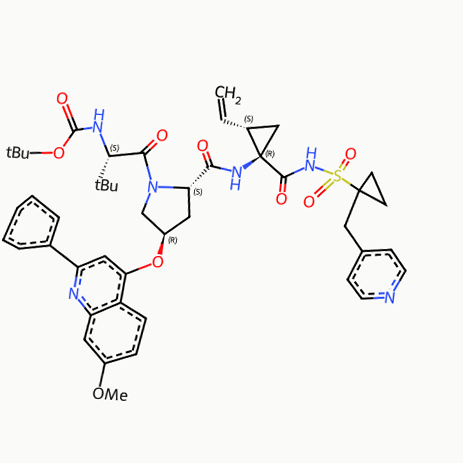 C=C[C@@H]1C[C@]1(NC(=O)[C@@H]1C[C@@H](Oc2cc(-c3ccccc3)nc3cc(OC)ccc23)CN1C(=O)[C@@H](NC(=O)OC(C)(C)C)C(C)(C)C)C(=O)NS(=O)(=O)C1(Cc2ccncc2)CC1